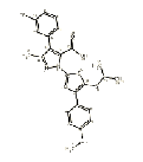 COc1ccc(-c2nc(-n3nc(C)c(-c4cccc(F)c4)c3C(=O)O)sc2SC(C)C)cc1